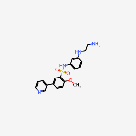 COc1ccc(-c2cccnc2)cc1S(=O)(=O)Nc1cccc(NCCN)c1